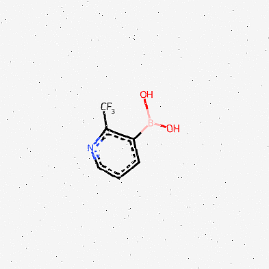 OB(O)c1cccnc1C(F)(F)F